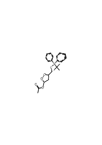 CC(=O)OC1CC(CO[Si](c2ccccc2)(c2ccccc2)C(C)(C)C)OO1